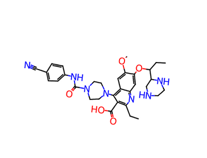 CCc1nc2cc(OC(CC)C3CNCCN3)c(OC)cc2c(N2CCN(C(=O)Nc3ccc(C#N)cc3)CC2)c1C(=O)O